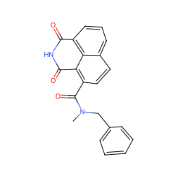 CN(Cc1ccccc1)C(=O)c1ccc2cccc3c2c1C(=O)NC3=O